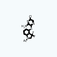 CC(=O)N1CC(F)(F)c2c(Sc3ncc(Cl)nc3N)cccc21